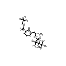 [2H]C([2H])([2H])C([2H])(C)[C@]([2H])(O)C(=O)N[C@@H](C)CN1CCC[C@@H](C(=O)OCC(Cl)(Cl)Cl)N1